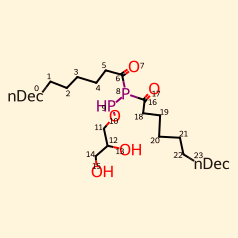 CCCCCCCCCCCCCCCC(=O)P(POCC(O)CO)C(=O)CCCCCCCCCCCCCCC